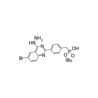 CCC(C)OP(=O)(O)Cc1ccc(-c2nc(NN)c3cc(Br)ccc3n2)cc1